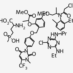 CCNc1nc(Cl)nc(NC(C)C)n1.CCc1ccc(COc2ccc(-n3c(=O)cc(C(F)(F)F)n(C)c3=O)cc2)c(OC(C)C(=O)OC)c1.CCc1cccc(C)c1N(C(=O)CCl)C(C)COC.CP(=O)(O)CCC(N)C(=O)O